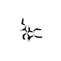 C=C[Si](C(=O)OCC)(C(=O)OCC)C(=O)OCC